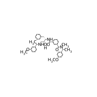 COc1ccc(C(C)N(C)C(=O)c2cccc(C(=O)N[C@@H](Cc3ccccc3)[C@H](O)CN[C@H](C)c3cccc(OC)c3)c2)cc1